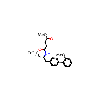 CCOC(=O)C[C@@H](Cc1ccc(-c2ccccc2OC)cc1)NC(=O)CCC(=O)OC